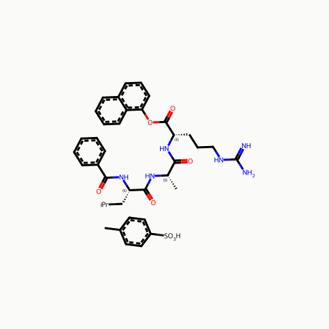 CC(C)C[C@H](NC(=O)c1ccccc1)C(=O)N[C@@H](C)C(=O)N[C@@H](CCCNC(=N)N)C(=O)Oc1cccc2ccccc12.Cc1ccc(S(=O)(=O)O)cc1